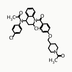 CC(=O)N1CCC(COc2ccc(C(=O)N3c4ccccc4C(N(C(C)=O)c4ccc(Cl)cc4)CC3C)cc2)CC1